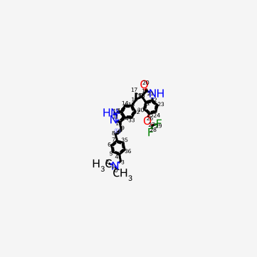 CN(C)Cc1ccc(/C=C/c2n[nH]c3cc(C4C[C@@]45C(=O)Nc4ccc(OC(F)F)cc45)ccc23)cc1